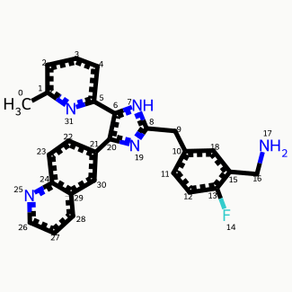 Cc1cccc(-c2[nH]c(Cc3ccc(F)c(CN)c3)nc2-c2ccc3ncccc3c2)n1